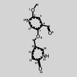 COc1cc(C=O)c(OCc2ccc(=O)[nH]c2)cn1